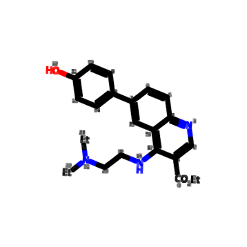 CCOC(=O)c1cnc2ccc(-c3ccc(O)cc3)cc2c1NCCN(CC)CC